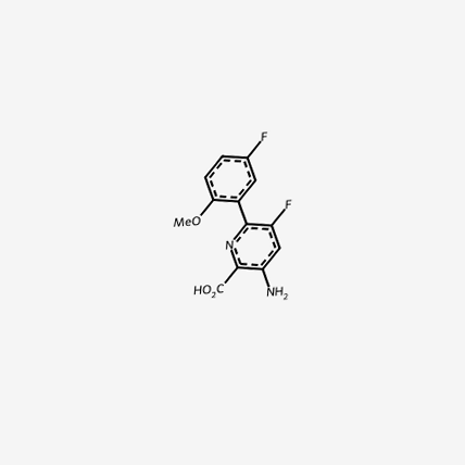 COc1ccc(F)cc1-c1nc(C(=O)O)c(N)cc1F